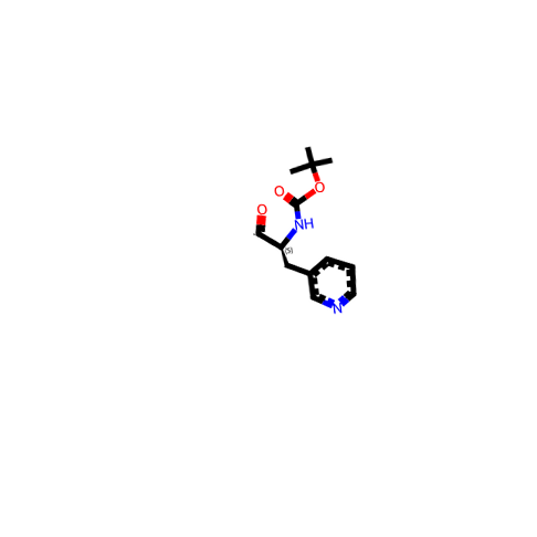 CC(C)(C)OC(=O)N[C@H]([C]=O)Cc1cccnc1